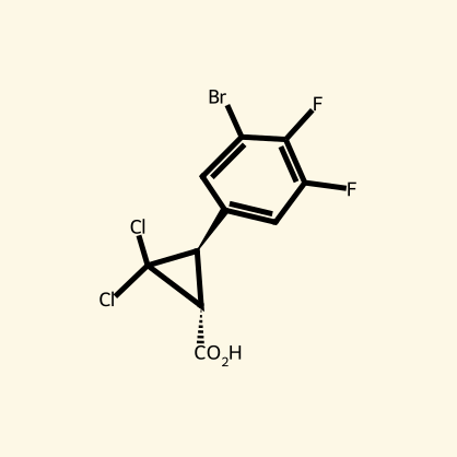 O=C(O)[C@H]1[C@H](c2cc(F)c(F)c(Br)c2)C1(Cl)Cl